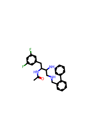 CC(=O)NC(Cc1cc(F)cc(F)c1)C(N)CNCc1ccccc1-c1ccccc1